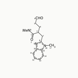 CNC(=O)C(CCC=O)Cc1nc2ccccc2n1C